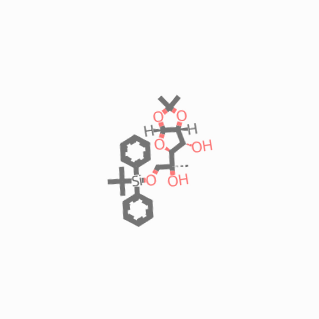 CC1(C)O[C@H]2O[C@H]([C@@](C)(O)CO[Si](c3ccccc3)(c3ccccc3)C(C)(C)C)[C@@H](O)[C@H]2O1